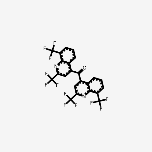 O=C(c1cc(C(F)(F)F)nc2c(C(F)(F)F)cccc12)c1cc(C(F)(F)F)nc2c(C(F)(F)F)cccc12